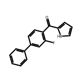 O=C(C1=CC=CB1)c1ccc(-c2ccccc2)cc1F